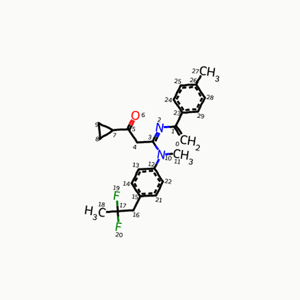 C=C(/N=C(/CC(=O)C1CC1)N(C)c1ccc(CC(C)(F)F)cc1)c1ccc(C)cc1